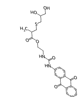 CC(CSCC(O)CO)C(=O)OCCNC(=O)Nc1ccc2c(c1)C(=O)c1ccccc1C2=O